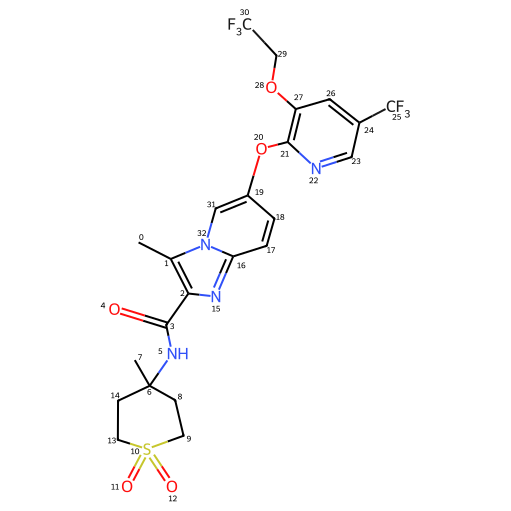 Cc1c(C(=O)NC2(C)CCS(=O)(=O)CC2)nc2ccc(Oc3ncc(C(F)(F)F)cc3OCC(F)(F)F)cn12